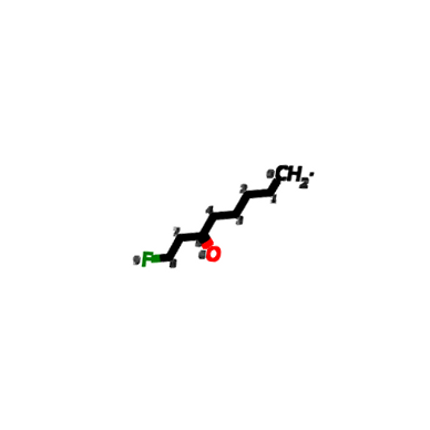 [CH2]CCCCC(=O)CCF